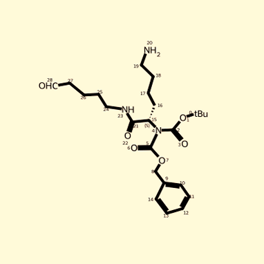 CC(C)(C)OC(=O)N(C(=O)OCc1ccccc1)[C@@H](CCCCN)C(=O)NCCCCC=O